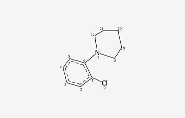 Clc1ccccc1N1C[CH]CCC1